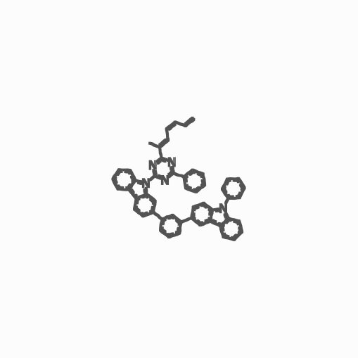 C=C/C=C\C=C(/C)c1nc(-c2ccccc2)nc(-n2c3ccccc3c3ccc(-c4cccc(-c5ccc6c(c5)c5ccccc5n6-c5ccccc5)c4)cc32)n1